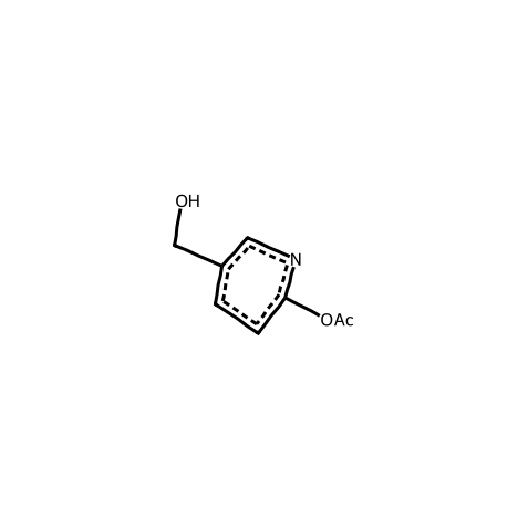 CC(=O)Oc1ccc(CO)cn1